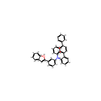 c1ccc(-c2ccc(-c3ccccc3N(c3ccccc3)c3cccc(-c4cc5ccccc5o4)c3)cc2)cc1